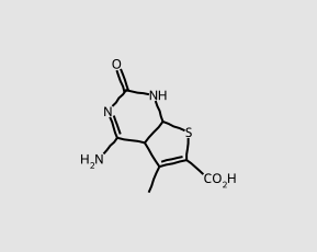 CC1=C(C(=O)O)SC2NC(=O)N=C(N)C12